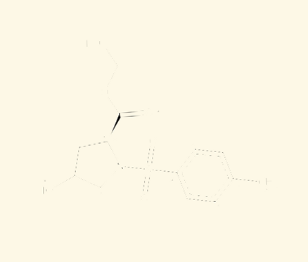 CCOC(=O)[C@@H]1CC(O)CN1S(=O)(=O)c1ccc(C)cc1